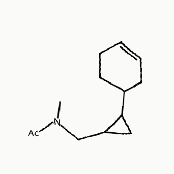 CC(=O)N(C)CC1CC1C1CC=CCC1